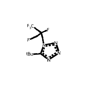 CC(C)(C)c1nnnn1C(F)(F)C(F)(F)F